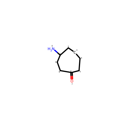 NC1CCCCC(=O)CC1